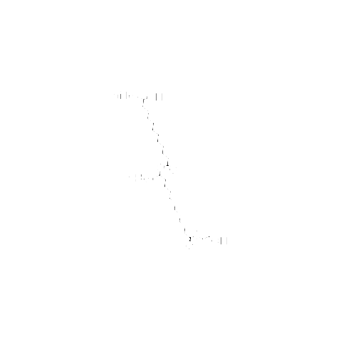 CCCCCCC(O)CCCCCCCCCCC(=O)OC(CCCCCC)CCCCCCCCCCC(=O)OCCO